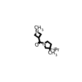 CC(C)[C@@]1(C)CCN(C(=O)C2CN(C)C2)C1